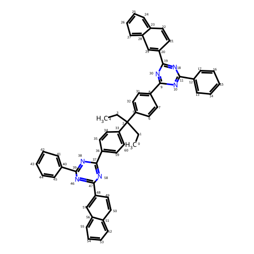 CCC(CC)(c1ccc(-c2nc(-c3ccccc3)nc(-c3ccc4ccccc4c3)n2)cc1)c1ccc(-c2nc(-c3ccccc3)nc(-c3ccc4ccccc4c3)n2)cc1